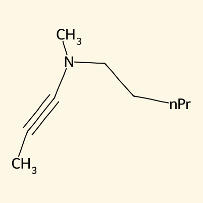 CC#CN(C)CCCCC